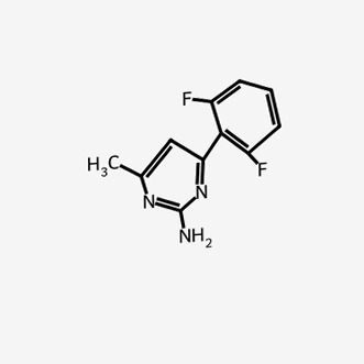 Cc1cc(-c2c(F)cccc2F)nc(N)n1